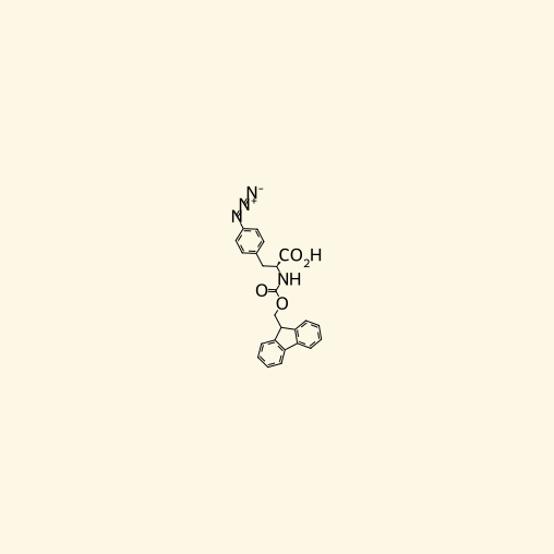 [N-]=[N+]=Nc1ccc(C[C@H](NC(=O)OCC2c3ccccc3-c3ccccc32)C(=O)O)cc1